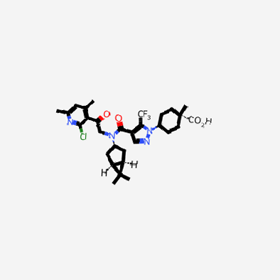 Cc1cc(C)c(C(=O)CN(C(=O)c2cnn([C@H]3CC[C@](C)(C(=O)O)CC3)c2C(F)(F)F)[C@@H]2C[C@@H]3[C@H](C2)C3(C)C)c(Cl)n1